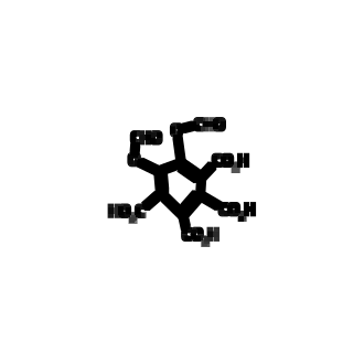 O=COc1c(OC=O)c(C(=O)O)c(C(=O)O)c(C(=O)O)c1C(=O)O